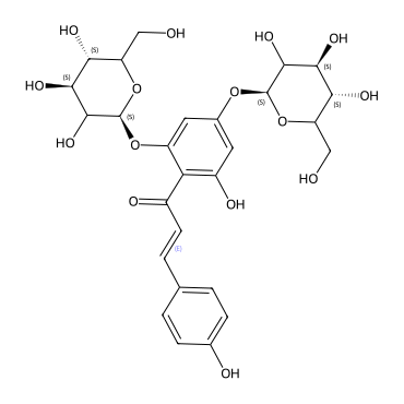 O=C(/C=C/c1ccc(O)cc1)c1c(O)cc(O[C@@H]2OC(CO)[C@@H](O)[C@H](O)C2O)cc1O[C@@H]1OC(CO)[C@@H](O)[C@H](O)C1O